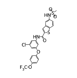 CS(=O)(=O)Nc1ccc2sc(C(=O)Nc3cc(Cl)cc(Oc4ccc(OC(F)(F)F)cc4)c3)cc2c1